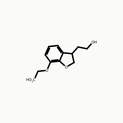 O=C(O)COc1cccc2c1OCC2CCO